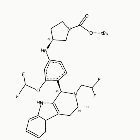 C[C@@H]1CC2=C(NC3=CC=CCC32)[C@@H](c2ccc(N[C@H]3CCN(C(=O)OC(C)(C)C)C3)cc2OC(F)F)N1CC(F)F